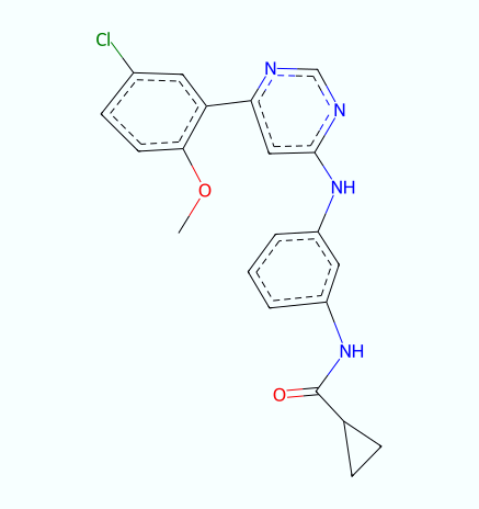 COc1ccc(Cl)cc1-c1cc(Nc2cccc(NC(=O)C3CC3)c2)ncn1